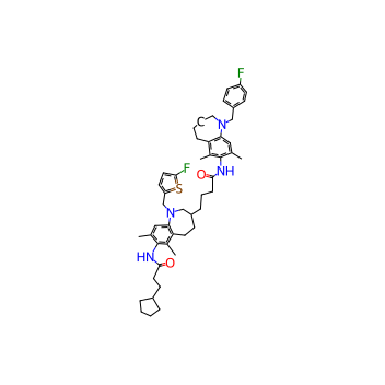 Cc1cc2c(c(C)c1NC(=O)CCCC1CCc3c(cc(C)c(NC(=O)CCC4CCCC4)c3C)N(Cc3ccc(F)s3)C1)CCCCN2Cc1ccc(F)cc1